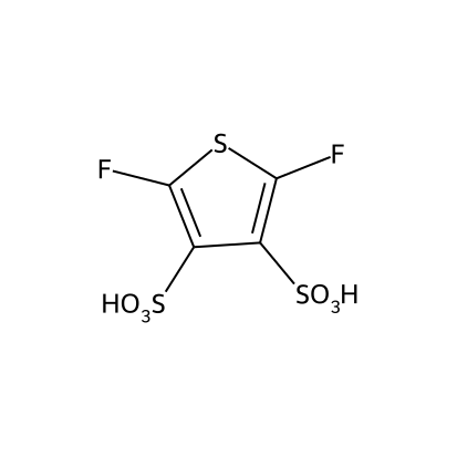 O=S(=O)(O)c1c(F)sc(F)c1S(=O)(=O)O